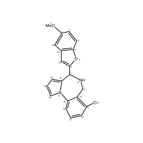 COc1ccc2oc(C3NCc4c(Cl)cccc4-n4cccc43)cc2c1